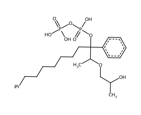 CC(C)CCCCCCCC(OP(=O)(O)OP(=O)(O)O)(c1ccccc1)C(C)OCC(C)O